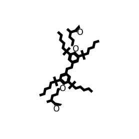 CCCCCC(C)(C)c1cc(CCc2cc(C(C)(C)CCCCC)c(OCCCC(C)C3CO3)c(C(C)(C)CCCCC)c2)cc(C(C)(C)CCCCC)c1OCCCC(C)C1CO1